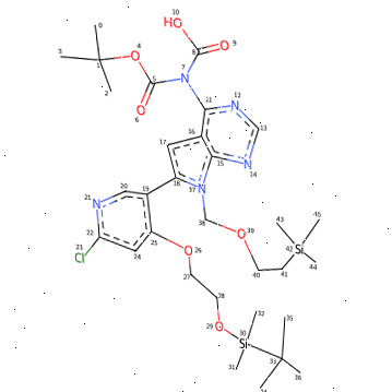 CC(C)(C)OC(=O)N(C(=O)O)c1ncnc2c1cc(-c1cnc(Cl)cc1OCCO[Si](C)(C)C(C)(C)C)n2COCC[Si](C)(C)C